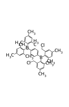 Cc1cc(C)c(B(c2ccc(B(c3c(C)cc(C)cc3CCl)c3c(C)cc(C)cc3CCl)cc2)c2c(C)cc(C)cc2C)c(C)c1